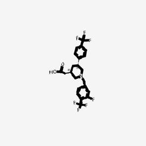 O=C(O)C[C@H]1C[C@H](c2ccc(C(F)(F)F)cc2)CN(Cc2ccc(C(F)(F)F)c(F)c2)C1